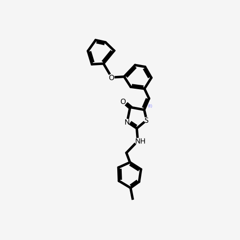 Cc1ccc(CNC2=NC(=O)/C(=C\c3cccc(Oc4ccccc4)c3)S2)cc1